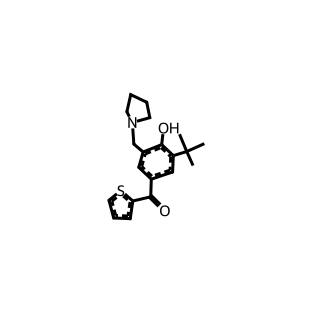 CC(C)(C)c1cc(C(=O)c2cccs2)cc(CN2CCCC2)c1O